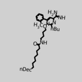 CCCCCCCCCCCCCCCCCC(=O)NCCCCON1C(c2ccccc2C)=CC(C(=N)N)N=C1CCCC